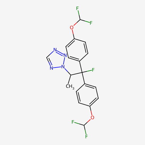 CC(n1ncnn1)C(F)(c1ccc(OC(F)F)cc1)c1ccc(OC(F)F)cc1